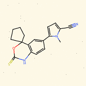 Cn1c(C#N)ccc1-c1ccc2c(c1)C1(CCCC1)OC(=S)N2